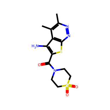 Cc1nnc2sc(C(=O)N3CCS(=O)(=O)CC3)c(N)c2c1C